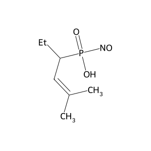 CCC(C=C(C)C)P(=O)(O)N=O